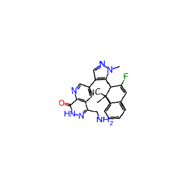 Cn1ncc(-c2cnc3c(=O)[nH]nc(CN)c3c2)c1C1C(F)=Cc2ccccc2C1(C)C#N